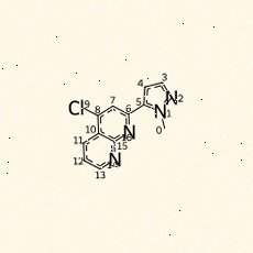 Cn1nccc1-c1cc(Cl)c2cccnc2n1